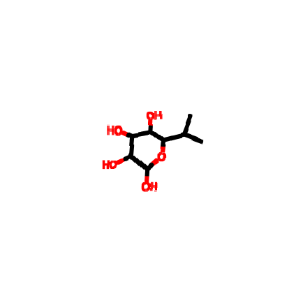 CC(C)C1OC(O)C(O)C(O)C1O